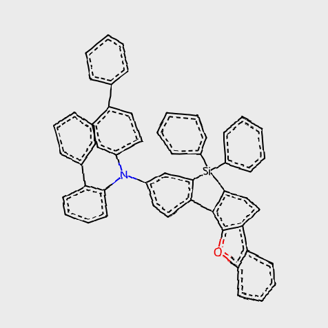 c1ccc(-c2ccc(N(c3ccc4c(c3)[Si](c3ccccc3)(c3ccccc3)c3ccc5c(oc6ccccc65)c3-4)c3ccccc3-c3ccccc3)cc2)cc1